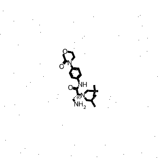 CC(C)CN(CC(C)(C)C)[C@H](CN)C(=O)Nc1ccc(N2CCOCC2=O)cc1